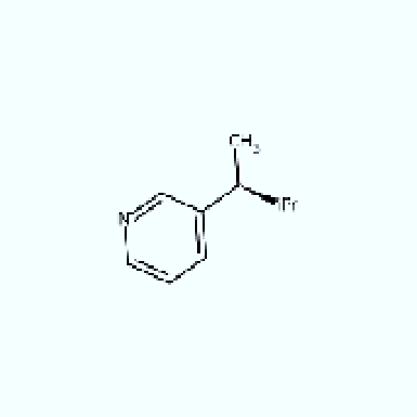 CC(C)[C@H](C)c1cccnc1